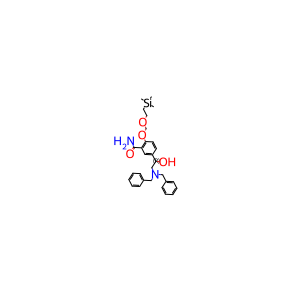 C[Si](C)(C)CCOCOc1ccc([C@@H](O)CN(Cc2ccccc2)Cc2ccccc2)cc1C(N)=O